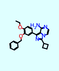 CCOc1ccc(-c2nc(C3CCC3)n3ccnc(N)c23)cc1OCc1ccccc1